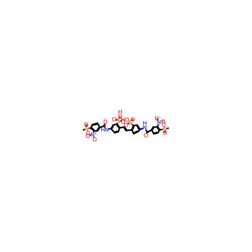 CS(=O)(=O)c1ccc(C(=O)Nc2ccc(/C=C/c3ccc(NC(=O)c4ccc(S(C)(=O)=O)c([N+](=O)[O-])c4)cc3S(=O)(=O)O)c(S(=O)(=O)O)c2)cc1[N+](=O)[O-]